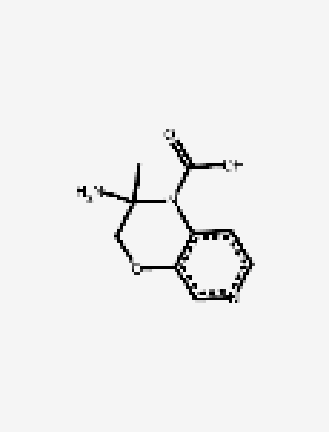 CC1(N)COc2cnccc2N1C(=O)O